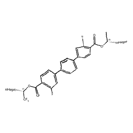 CCCCCCC[C@@H](C)OC(=O)c1ccc(-c2ccc(-c3ccc(C(=O)O[C@@H](CCCCCCC)C(F)(F)F)c(F)c3)cc2)cc1F